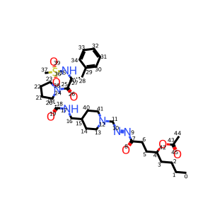 CCCCC(CCC(=O)N=NCN1CCC(CNC(=O)[C@@H]2CCCN2C(=O)[C@@H](Cc2ccccc2)NS(C)(=O)=O)CC1)OC(C)=O